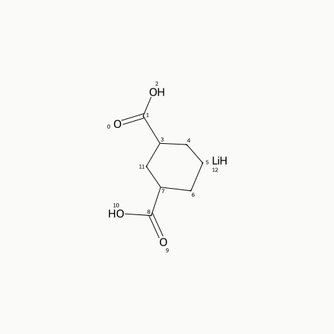 O=C(O)C1CCCC(C(=O)O)C1.[LiH]